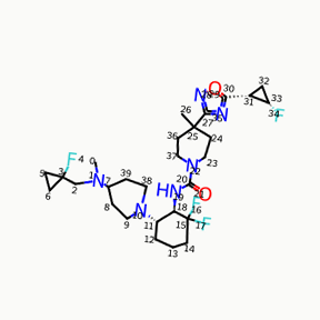 CN(CC1(F)CC1)C1CCN([C@H]2CCCC(F)(F)[C@@H]2NC(=O)N2CCC(C)(c3noc([C@@H]4C[C@@H]4F)n3)CC2)CC1